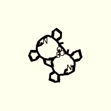 CC12OB3OC1(C)c1ccccc1-c1ccc(cn1)-c1ccccc1-c1cc3cc(c1)-c1ccccc1-c1ccc(nc1)-c1ccccc12